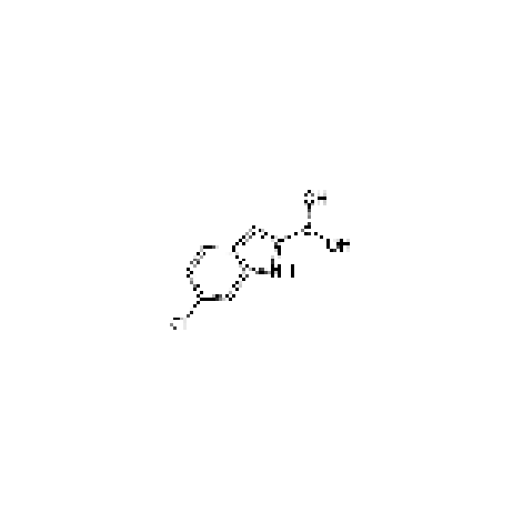 OB(O)c1cc2ccc(Cl)cc2[nH]1